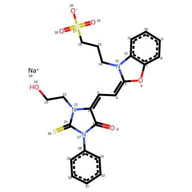 O=C1C(=CC=C2Oc3ccccc3N2CCCS(=O)(=O)[O-])N(CCO)C(=S)N1c1ccccc1.[Na+]